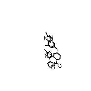 Cc1nc2c(C)cc(C[C@H]3CC[C@H](C(=O)N4OCC[C@H]4c4csc(C)n4)CC3)cn2n1